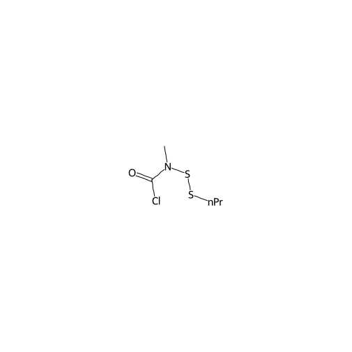 CCCSSN(C)C(=O)Cl